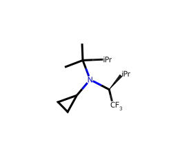 CC(C)[C@H](N(C1CC1)C(C)(C)C(C)C)C(F)(F)F